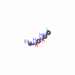 CCN1CCC(CNC(=O)C2CCC(NC(=O)c3ccc(-c4cccc(F)c4)nc3)CC2)C1